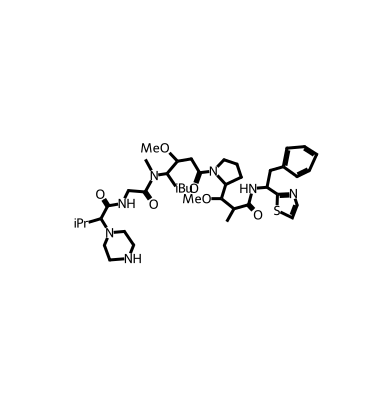 CCC(C)C(C(CC(=O)N1CCCC1C(OC)C(C)C(=O)NC(Cc1ccccc1)c1nccs1)OC)N(C)C(=O)CNC(=O)C(C(C)C)N1CCNCC1